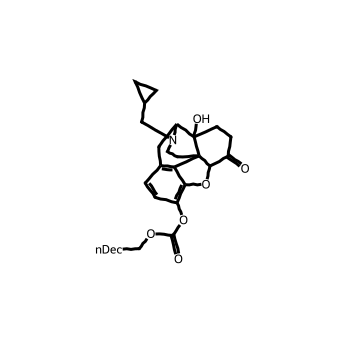 CCCCCCCCCCCOC(=O)Oc1ccc2c3c1OC1C(=O)CCC4(O)C(C2)N(CC2CC2)CCC314